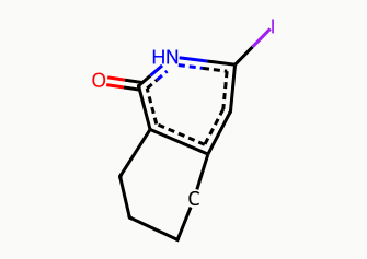 O=c1[nH]c(I)cc2c1CCCC2